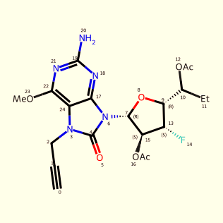 C#CCn1c(=O)n([C@@H]2O[C@H](C(CC)OC(C)=O)[C@H](F)[C@H]2OC(C)=O)c2nc(N)nc(OC)c21